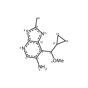 COC(c1c(N)cnc2sc(C)nc12)C1CC1